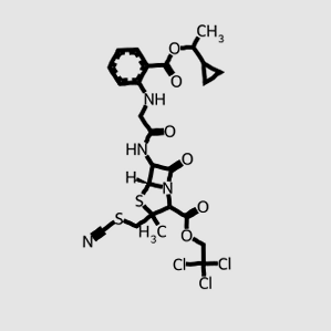 CC(OC(=O)c1ccccc1NCC(=O)NC1C(=O)N2C(C(=O)OCC(Cl)(Cl)Cl)C(C)(CSC#N)S[C@H]12)C1CC1